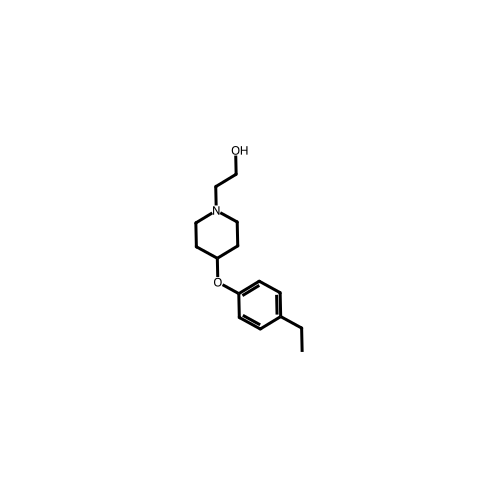 CCc1ccc(OC2CCN(CCO)CC2)cc1